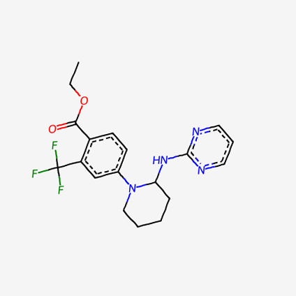 CCOC(=O)c1ccc(N2CCCCC2Nc2ncccn2)cc1C(F)(F)F